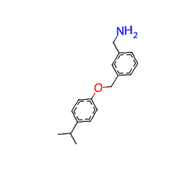 CC(C)c1ccc(OCc2cccc(CN)c2)cc1